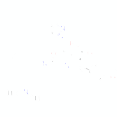 CCCCN(CCCCN(C)C)C(=O)CN1C[C@H](c2ccc3c(c2)CCO3)[C@@H](C(=O)O)[C@@H]1CCn1cccn1